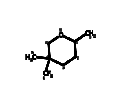 CC1CCC(C)(C(F)(F)F)CO1